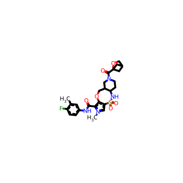 Cc1cc(NC(=O)c2c3c(cn2C)S(=O)(=O)NC2CCN(C(=O)C45CC(CO4)C5)CC2CO3)ccc1F